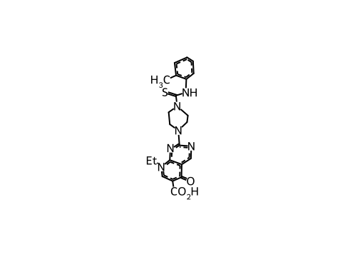 CCn1cc(C(=O)O)c(=O)c2cnc(N3CCN(C(=S)Nc4ccccc4C)CC3)nc21